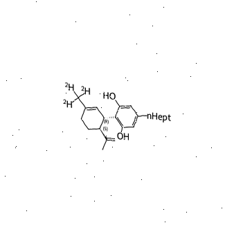 [2H]C([2H])([2H])C1=C[C@H](c2c(O)cc(CCCCCCC)cc2O)[C@@H](C(=C)C)CC1